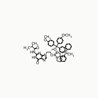 COc1ccc(C(OC[C@@H](Cn2cnc3c(=O)[nH]c(NC(=O)C(C)C)nc32)O[P@]2O[C@H](C[Si](C)(c3ccccc3)c3ccccc3)[C@@H]3CCCN32)(c2ccccc2)c2ccc(OC)cc2)cc1